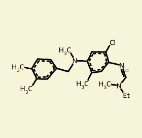 CCN(C)/C=N\c1cc(C)c(N(C)Cc2ccc(C)c(C)c2)cc1Cl